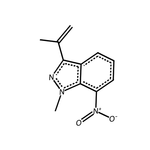 C=C(C)c1nn(C)c2c([N+](=O)[O-])cccc12